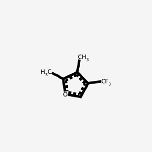 Cc1occ(C(F)(F)F)c1C